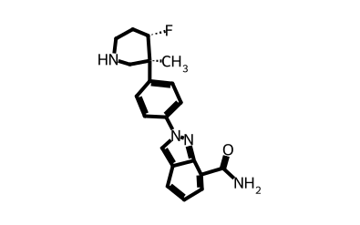 C[C@]1(c2ccc(-n3cc4cccc(C(N)=O)c4n3)cc2)CNCC[C@@H]1F